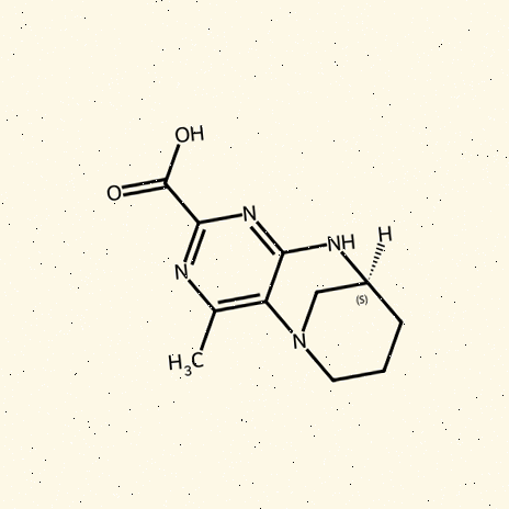 Cc1nc(C(=O)O)nc2c1N1CCC[C@@H](C1)N2